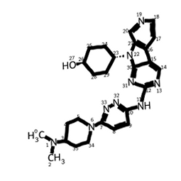 CN(C)C1CCN(c2ccc(Nc3ncc4c5ccncc5n([C@H]5CC[C@H](O)CC5)c4n3)nn2)CC1